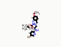 COc1ccc(CN(CCNc2ccc(Br)cn2)NC(=O)OC(C)(C)C)cc1